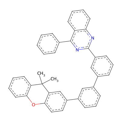 CC1(C)c2ccccc2Oc2ccc(-c3cccc(-c4cccc(-c5nc(-c6ccccc6)c6ccccc6n5)c4)c3)cc21